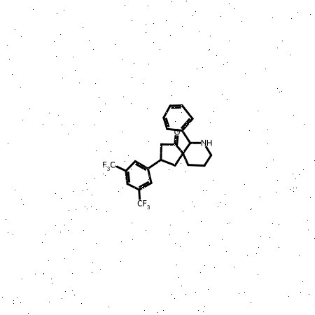 O=C1CC(c2cc(C(F)(F)F)cc(C(F)(F)F)c2)CC12CCCNC2c1ccccc1